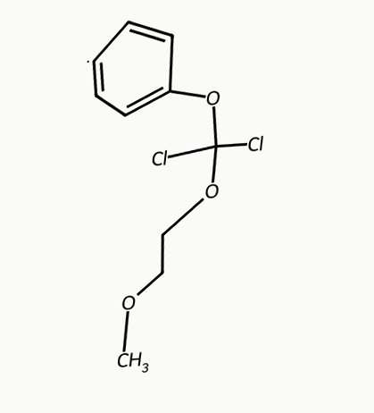 COCCOC(Cl)(Cl)Oc1cc[c]cc1